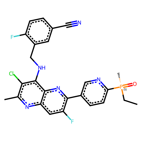 CC[P@](C)(=O)c1ccc(-c2nc3c(NCc4cc(C#N)ccc4F)c(Cl)c(C)nc3cc2F)cn1